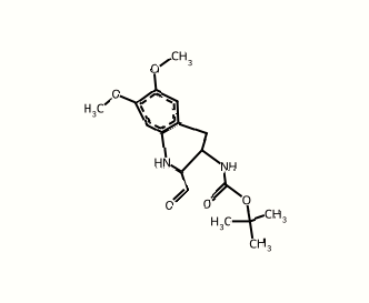 COc1cc2c(cc1OC)NC(C=O)C(NC(=O)OC(C)(C)C)C2